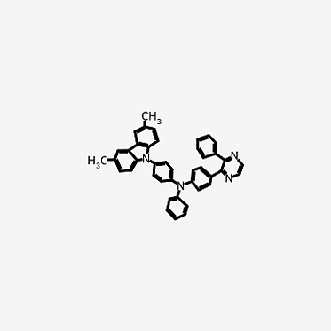 Cc1ccc2c(c1)c1cc(C)ccc1n2-c1ccc(N(c2ccccc2)c2ccc(-c3nccnc3-c3ccccc3)cc2)cc1